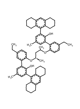 CCc1ccc(OC(C)C[C@@H](C)Oc2ccc(CC)cc2-c2cc(C)cc(-c3c4c(cc5c3CCCC5)CCCC4)c2O)c(-c2cc(C)cc(-c3c4c(cc5c3CCCC5)CCCC4)c2O)c1